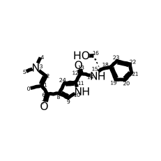 CC(=CN(C)C)C(=O)c1c[nH]c(C(=O)N[C@H](CO)c2ccccc2)c1